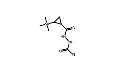 CCC(=O)NNC(=O)C1C[CH]1[Sn]([CH3])([CH3])[CH3]